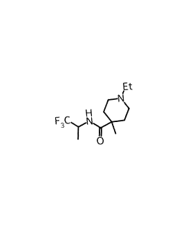 CCN1CCC(C)(C(=O)NC(C)C(F)(F)F)CC1